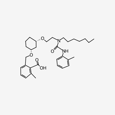 CCCCCCCN(CCO[C@H]1CCC[C@@H](OCc2cccc(C)c2C(=O)O)C1)C(=O)Nc1ccccc1C